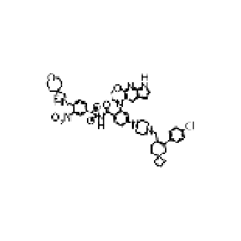 O=C(NS(=O)(=O)c1ccc(NCC2(F)CCOCC2)c([N+](=O)[O-])c1)c1ccc(N2CCN(CC3=C(c4ccc(Cl)cc4)CC4(CCC4)CC3)CC2)cc1N1CCOc2nc3[nH]ccc3cc21